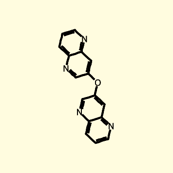 c1cnc2cc(Oc3cnc4cccnc4c3)cnc2c1